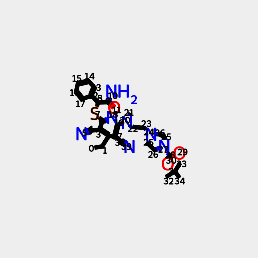 CCc1c(C#N)c(SC(C(N)=O)c2ccccc2)nc(N(C)CCN2CCN(C(=O)OC(C)(C)C)CC2)c1C#N